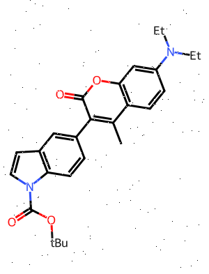 CCN(CC)c1ccc2c(C)c(-c3ccc4c(ccn4C(=O)OC(C)(C)C)c3)c(=O)oc2c1